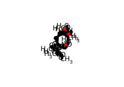 CCn1c(-c2cccnc2[C@H](C)OC)c2c3cc(ccc31)-c1csc(n1)C[C@H](NC(=O)C(C(C)C)N(C)C(=O)[C@@H]1CN(C(=O)OC)C[C@@H]1C)C(=O)N1CCC[C@H](N1)C(=O)OCC(C)(C)C2